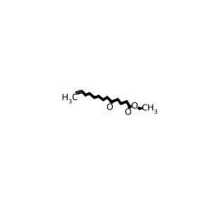 C/C=C\CCCCCCC(=O)CCCC(=O)OCC